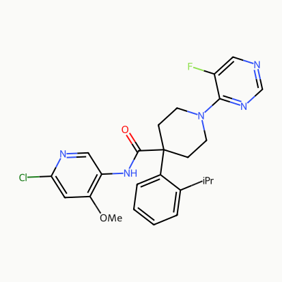 COc1cc(Cl)ncc1NC(=O)C1(c2ccccc2C(C)C)CCN(c2ncncc2F)CC1